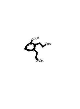 CCCCCCCCCCCCc1cccc(S(=O)(=O)O)c1CCCCCCCCCCCC